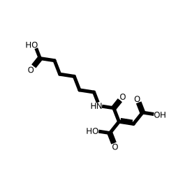 O=C(O)/C=C(/C(=O)O)C(=O)NCCCCCC(=O)O